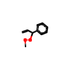 C=CC(OOC)c1ccccc1